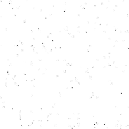 Cc1oc2ncn(CC(C)C)c(=O)c2c1C(=O)NCCCN(C)C1CCCCC1